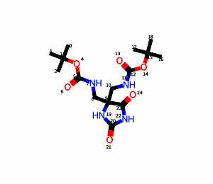 CC(C)(C)OC(=O)NCC1(CNC(=O)OC(C)(C)C)NC(=O)NC1=O